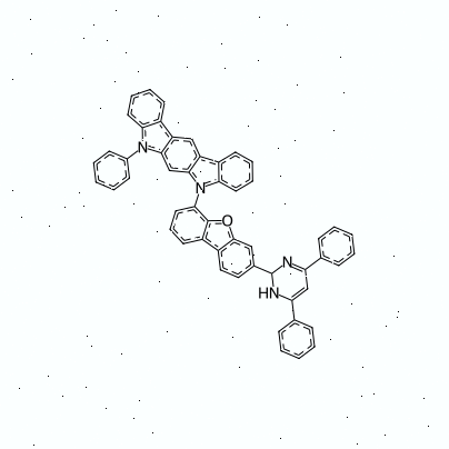 C1=C(c2ccccc2)NC(c2ccc3c(c2)oc2c(-n4c5ccccc5c5cc6c7ccccc7n(-c7ccccc7)c6cc54)cccc23)N=C1c1ccccc1